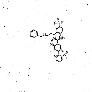 FC(F)(F)c1ccc(Nc2ncnc3cc(-c4ncccc4C(F)(F)F)ccc23)c(CCCOCc2ccccc2)c1